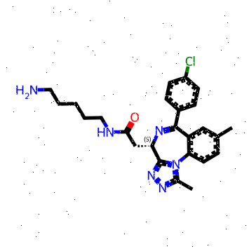 Cc1ccc2c(c1)C(c1ccc(Cl)cc1)=N[C@@H](CC(=O)NCCCCCN)c1nnc(C)n1-2